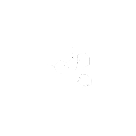 CC(C)CN1C[C@@H](c2ccccc2)[C@@]2(CCCNC2)C1=O